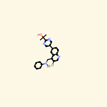 CCN(Cc1c(Cl)cnc2ccc(-c3cnc(C(C)(C)O)nc3)cc12)c1ccccc1